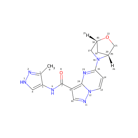 Cc1n[nH]cc1NC(=O)c1cnn2ccc(N3C[C@H]4C[C@@H]3CO4)nc12